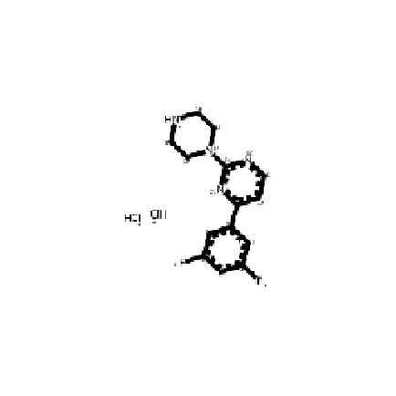 Cl.Cl.Fc1cc(F)cc(-c2ccnc(N3CCNCC3)n2)c1